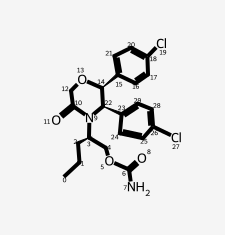 CCC[C@H](COC(N)=O)N1C(=O)CO[C@@H](c2ccc(Cl)cc2)[C@H]1c1ccc(Cl)cc1